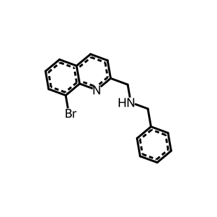 Brc1cccc2ccc(CNCc3ccccc3)nc12